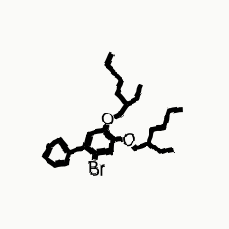 CCCCC(CC)COc1cc(Br)c(-c2ccccc2)cc1OCC(CC)CCCC